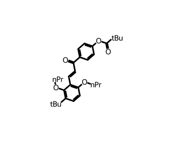 CCCOc1ccc(C(C)(C)C)c(OCCC)c1C=CC(=O)c1ccc(OC(=O)C(C)(C)C)cc1